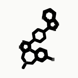 CN1Cc2cc(Cl)ccc2-n2c(nnc2C2CCC(c3nsc4cccnc34)CC2)C1